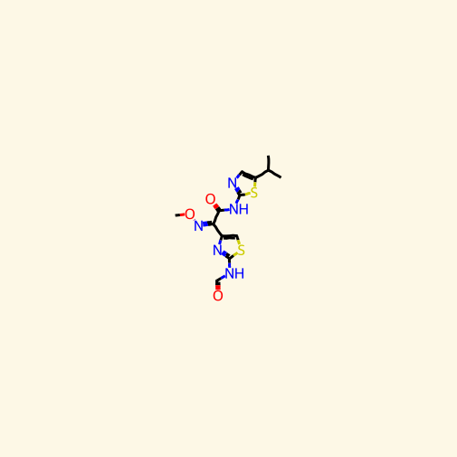 CO/N=C(\C(=O)Nc1ncc(C(C)C)s1)c1csc(NC=O)n1